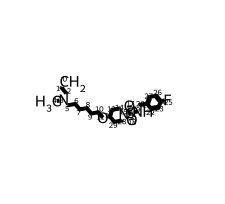 C=CCN(C)CCCCCCOC1CCN(S(=O)(=O)NCc2ccc(F)cc2)CC1